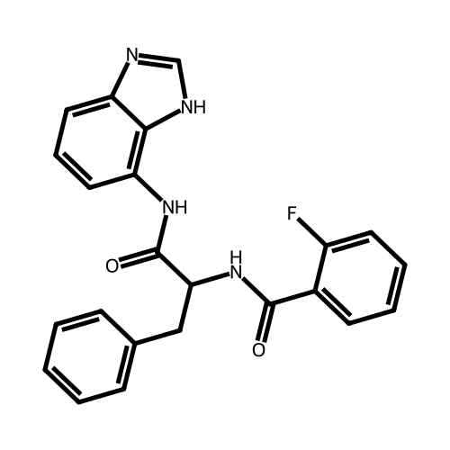 O=C(NC(Cc1ccccc1)C(=O)Nc1cccc2nc[nH]c12)c1ccccc1F